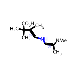 CN/C(C)=C\N/C=C(\C)C(C)(C)C(=O)O